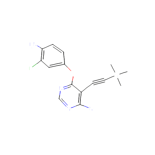 C[Si](C)(C)C#Cc1c(N)ncnc1Oc1ccc(N)c(F)c1